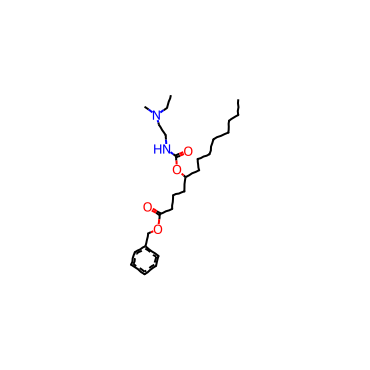 CCCCCCCCC(CCCC(=O)OCc1ccccc1)OC(=O)NCCN(C)CC